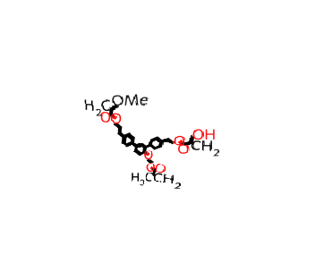 C=C(C)C(=O)OCCOc1ccc(-c2ccc(CCCOC(=O)C(=C)COC)cc2)cc1C1CCC(CCOC(=O)C(=C)CO)CC1